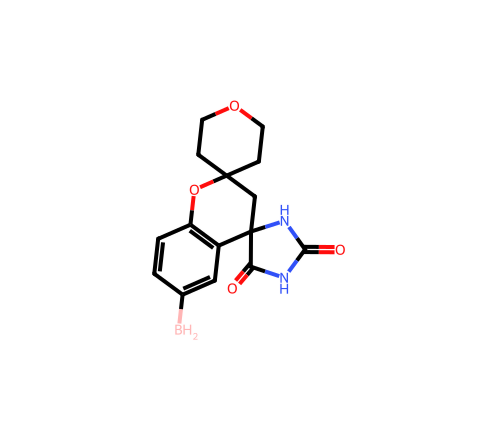 Bc1ccc2c(c1)C1(CC3(CCOCC3)O2)NC(=O)NC1=O